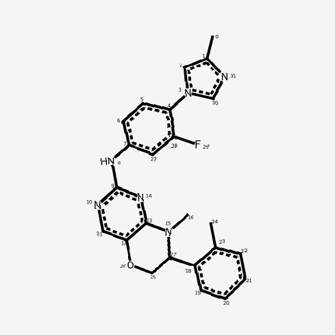 Cc1cn(-c2ccc(Nc3ncc4c(n3)N(C)C(c3ccccc3C)CO4)cc2F)cn1